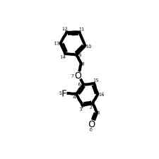 O=Cc1[c]c(F)c(OCc2ccccc2)cc1